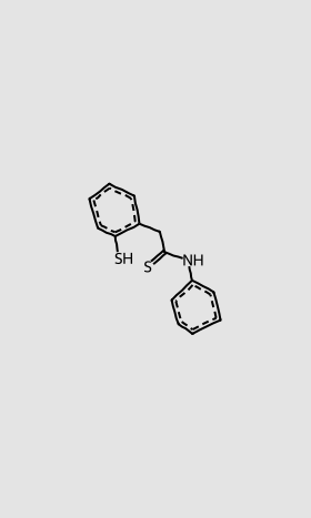 S=C(Cc1ccccc1S)Nc1ccccc1